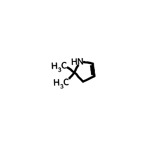 CC1(C)CC=CN1